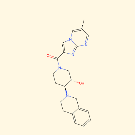 Cc1cnc2nc(C(=O)N3CC[C@H](N4CCc5ccccc5C4)[C@@H](O)C3)cn2c1